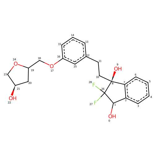 OC1c2ccccc2[C@@](O)(CCc2cccc(OCC3C[C@@H](O)CO3)c2)C1(F)F